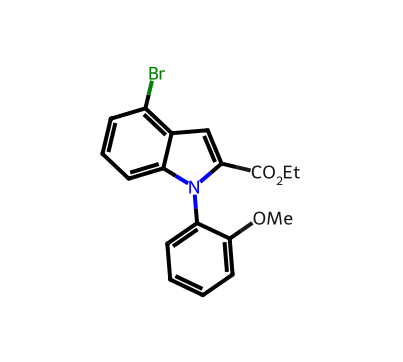 CCOC(=O)c1cc2c(Br)cccc2n1-c1ccccc1OC